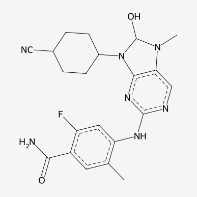 Cc1cc(C(N)=O)c(F)cc1Nc1ncc2c(n1)N(C1CCC(C#N)CC1)C(O)N2C